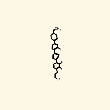 C=CC1CC=C(c2ccc(-c3ccc(-c4ccc(C/C=C\CC)c(F)c4F)cc3)c(F)c2)CC1